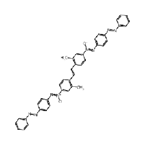 Cc1cc([N+]([O-])=Nc2ccc(N=Nc3ccccc3)cc2)ccc1C=Cc1ccc([N+]([O-])=Nc2ccc(N=Nc3ccccc3)cc2)cc1C